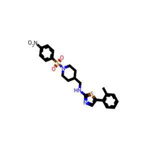 Cc1[c]cccc1-c1cnc(NCC2CCN(S(=O)(=O)c3ccc([N+](=O)[O-])cc3)CC2)s1